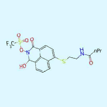 CCCC(=O)NCCSc1ccc2c3c(cccc13)C(O)N(OS(=O)(=O)C(F)(F)F)C2=O